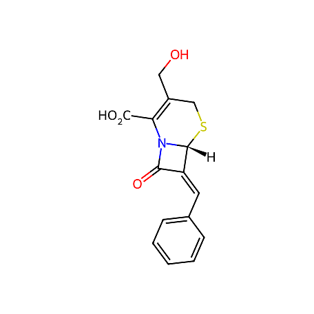 O=C(O)C1=C(CO)CS[C@@H]2/C(=C/c3ccccc3)C(=O)N12